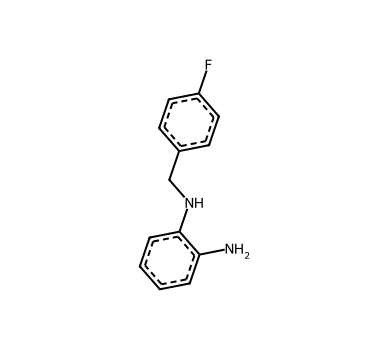 Nc1ccccc1NCc1ccc(F)cc1